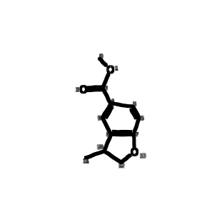 COC(=O)c1ccc2c(c1)C(C)CO2